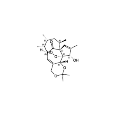 CC1=C[C@]23C(=O)[C@@H](C=C4COC(C)(C)O[C@H]4[C@]2(OO)[C@H]1O)[C@H](C)[C@H](C)C[C@H]3C